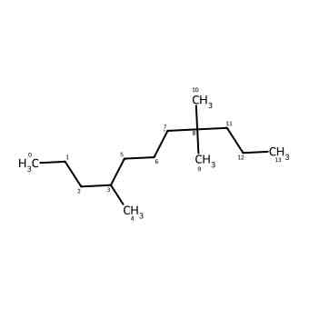 CCCC(C)CC[CH]C(C)(C)CCC